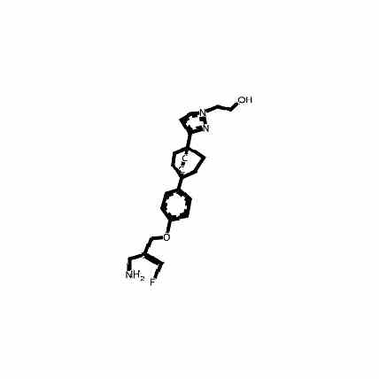 NCC(=CF)COc1ccc(C23CCC(c4ccn(CCO)n4)(CC2)CC3)cc1